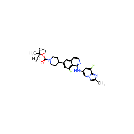 Cc1cn2cc(Nc3nccc4cc(C5CCN(C(=O)OC(C)(C)C)CC5)cc(F)c34)cc(F)c2n1